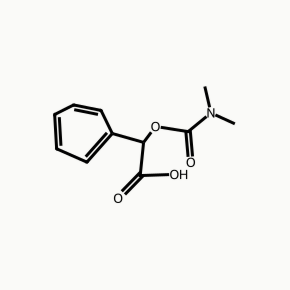 CN(C)C(=O)OC(C(=O)O)c1ccccc1